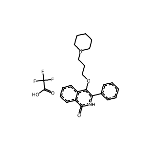 O=C(O)C(F)(F)F.O=c1[nH]c(-c2ccccc2)c(OCCCN2CCCCC2)c2ccccc12